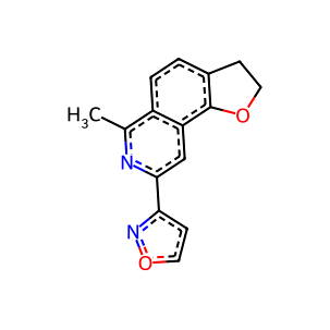 Cc1nc(-c2ccon2)cc2c3c(ccc12)CCO3